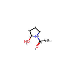 CCCCC(=O)N1CCCC1O